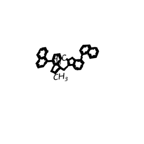 CC1=C(CC2=C(C)Cc3c2cccc3-c2cccc3ccccc23)c2cccc(-c3cccc4ccccc34)c2C1